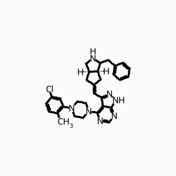 Cc1ccc(Cl)cc1N1CCN(c2ncnc3[nH]nc(C=C4C[C@H]5CNC(Cc6ccccc6)[C@H]5C4)c23)CC1